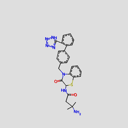 CC(C)(N)CC(=O)NC1Sc2ccccc2N(Cc2ccc(-c3ccccc3-c3nnn[nH]3)cc2)C1=O